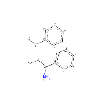 CCC(N)c1ccccc1.CCc1ccccc1